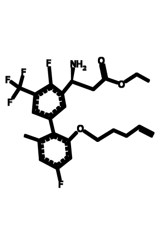 C=CCCCOc1cc(F)cc(C)c1-c1cc([C@@H](N)CC(=O)OCC)c(F)c(C(F)(F)F)c1